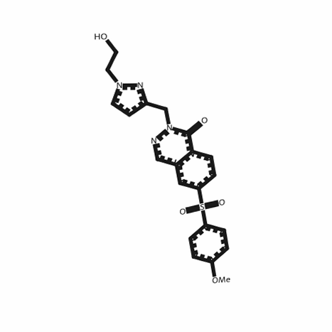 COc1ccc(S(=O)(=O)c2ccc3c(=O)n(Cc4ccn(CCO)n4)ncc3c2)cc1